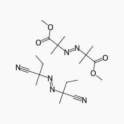 CCC(C)(C#N)N=NC(C)(C#N)CC.COC(=O)C(C)(C)N=NC(C)(C)C(=O)OC